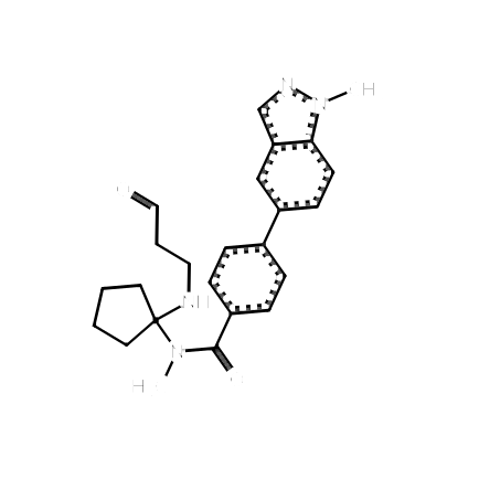 CN(C(=O)c1ccc(-c2ccc3c(cnn3C)c2)cc1)C1(NCCC=O)CCCC1